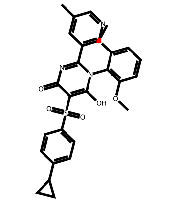 COc1cccc(OC)c1-n1c(-c2cncc(C)c2)nc(=O)c(S(=O)(=O)c2ccc(C3CC3)cc2)c1O